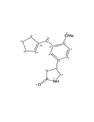 COc1ccc(C2CNC(=O)C2)cc1OC1=CCCC1